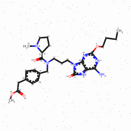 CCCCOc1nc(N)c2[nH]c(=O)n(CCCN(Cc3ccc(CC(=O)OC)cc3)C(=O)[C@@H]3CCCN3C)c2n1